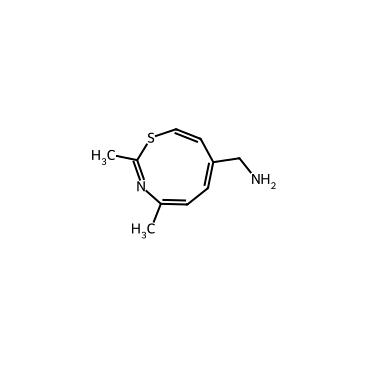 Cc1ccc(CN)ccsc(C)n1